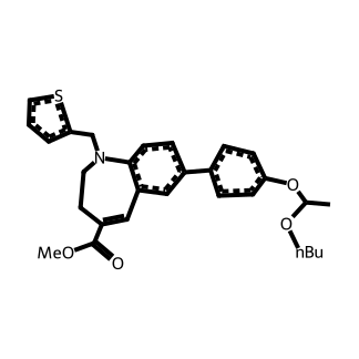 CCCCOC(C)Oc1ccc(-c2ccc3c(c2)C=C(C(=O)OC)CCN3Cc2cccs2)cc1